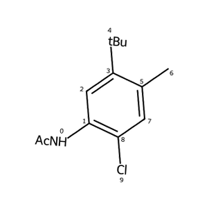 CC(=O)Nc1cc(C(C)(C)C)c(C)cc1Cl